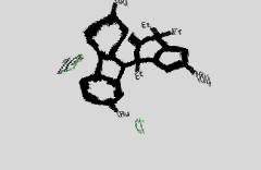 CCC1(CC)C2=CC(C(C)(C)C)=CC2C(CC)(C2c3cc(C(C)(C)C)ccc3-c3ccc(C(C)(C)C)cc32)C1C.[Cl-].[Cl-].[Zr+2]